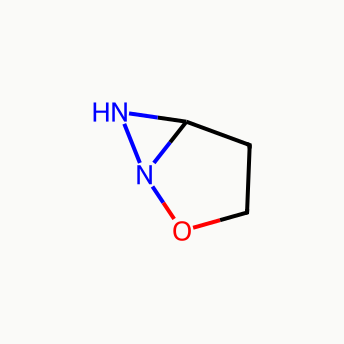 C1CC2NN2O1